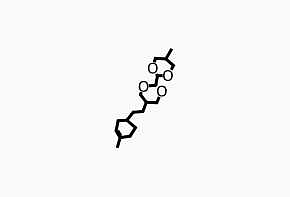 CC1=CCC(CCC2COC(C3OCC(C)CO3)OC2)CC1